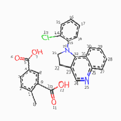 Cc1ccc(C(=O)O)cc1C(=O)O.Clc1ccccc1N1CCc2cnc3ccccc3c21